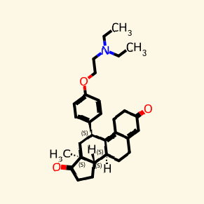 CCN(CC)CCOc1ccc([C@@H]2C[C@]3(C)C(=O)CC[C@H]3[C@@H]3CCC4=CC(=O)CCC4=C23)cc1